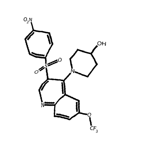 O=[N+]([O-])c1ccc(S(=O)(=O)c2cnc3ccc(OC(F)(F)F)cc3c2N2CCC(O)CC2)cc1